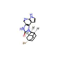 O=c1[nH]c2cnc3[nH]ccc3c2n1[C@@H]1[C@@H]2CC3C[C@H]1C[C@@](Br)(C3)C2